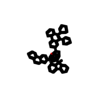 CC1(c2ccccc2)c2ccccc2-c2cccc(N(c3cccc(-c4ccc5c(c4)c(-c4ccccc4)c(-c4ccccc4)c4ccccc45)c3)c3ccc4c(ccc5ccccc54)c3)c21